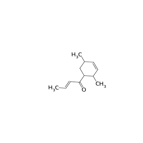 C/C=C/C(=O)C1CC(C)C=CC1C